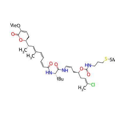 COC1=CC[C@@H]([C@@H](C)/C=C(C)/C=C\C=C/C(=O)N[C@H](C(=O)N/C=C\C[C@H](C/C=C(\C)Cl)OC(=O)NCCCSSC)C(C)(C)C)OC1=O